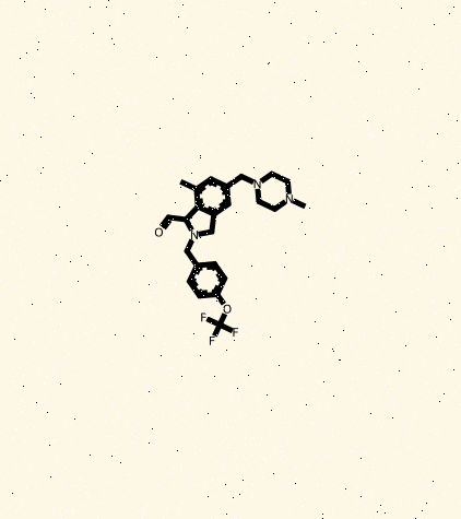 Cc1cc(CN2CCN(C)CC2)cc2c1C(C=O)N(Cc1ccc(OC(F)(F)F)cc1)C2